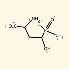 CP(C)(=O)C(O)CC(N)C(=O)O